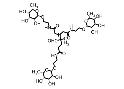 C[C@@H]1O[C@@H](OCCNC(=O)CCC(C)(C=O)N(CC(=O)NCCO[C@@H]2O[C@@H](C)[C@@H](O)[C@@H](O)[C@@H]2O)CC(=O)NCCO[C@@H]2O[C@@H](C)[C@@H](O)[C@@H](O)[C@@H]2O)[C@@H](O)[C@H](O)[C@@H]1O